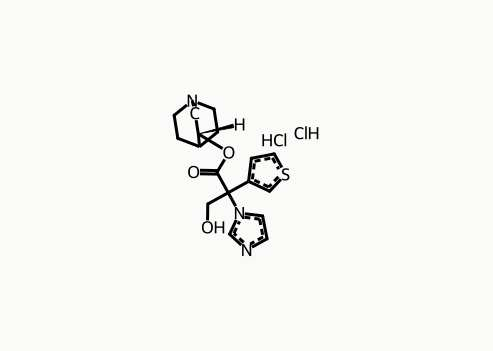 Cl.Cl.O=C(O[C@H]1CN2CCC1CC2)C(CO)(c1ccsc1)n1ccnc1